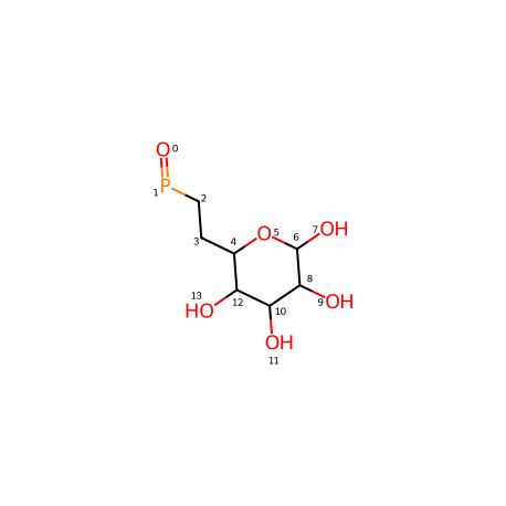 O=PCCC1OC(O)C(O)C(O)C1O